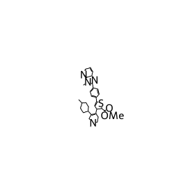 COC(=O)C1SC(c2ccc(C3=NC4C=CC=NC4N3C)cc2)=CC1C1=C(C2CCC(C)CC2)CN(C)CC1